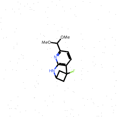 COC(OC)c1ccc2c(n1)NC1CC2(F)C1